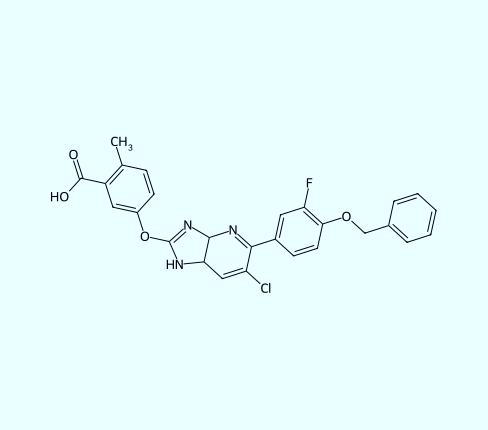 Cc1ccc(OC2=NC3N=C(c4ccc(OCc5ccccc5)c(F)c4)C(Cl)=CC3N2)cc1C(=O)O